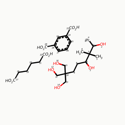 CC(C)C(O)C(C)(C)C(O)CCC(CO)(CO)CO.O=C(O)CCCCC(=O)O.O=C(O)c1cccc(C(=O)O)c1